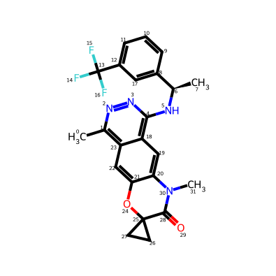 Cc1nnc(N[C@H](C)c2cccc(C(F)(F)F)c2)c2cc3c(cc12)OC1(CC1)C(=O)N3C